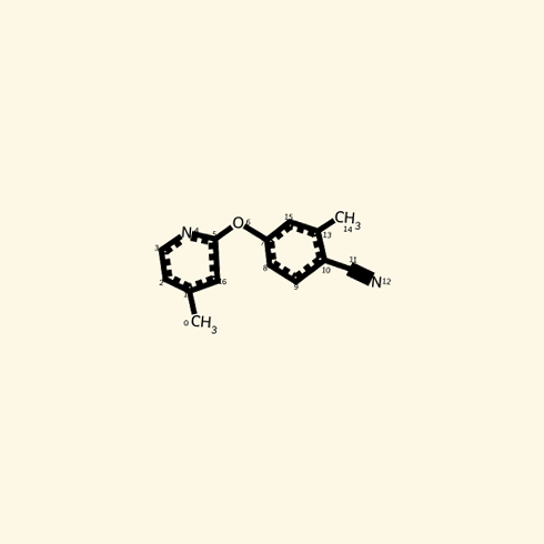 Cc1ccnc(Oc2ccc(C#N)c(C)c2)c1